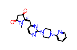 CN1C(=O)CC(=O)/C1=C/c1ccnc(N2CCN(c3ccccn3)CC2)n1